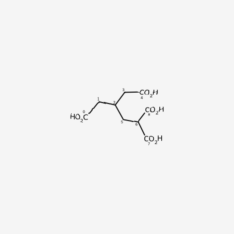 O=C(O)CC(CC(=O)O)CC(C(=O)O)C(=O)O